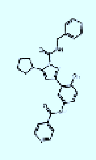 O=C(Nc1ccc(O)c(-c2cc(C3CCCC3)n(C(=O)NCc3ccccc3)n2)c1)c1ccncc1